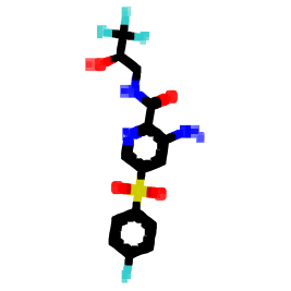 Nc1cc(S(=O)(=O)c2ccc(F)cc2)cnc1C(=O)NC[C@@H](O)C(F)(F)F